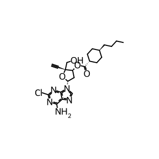 C#C[C@]1(CO)O[C@@H](n2cnc3c(N)nc(Cl)nc32)C[C@@H]1OC(=O)[C@H]1CC[C@H](CCCC)CC1